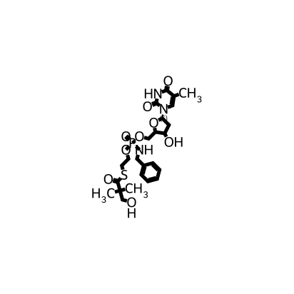 Cc1cn([C@@H]2CC(O)C(COP(=O)(NCc3ccccc3)OCCSC(=O)C(C)(C)CO)O2)c(=O)[nH]c1=O